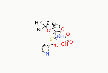 C[C@@H](O[Si](C)(C)C(C)(C)C)[C@H]1C(=O)N[C@@H]1SC(=O)c1cccnc1.O=CC(=O)O